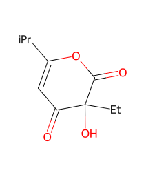 CCC1(O)C(=O)C=C(C(C)C)OC1=O